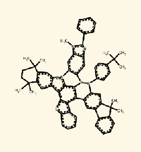 Cn1c(-c2ccccc2)nc2cc3c(cc21)-n1c2cc4c(cc2c2c5sc6ccccc6c5c5c(c21)B3N(c1ccc(C(C)(C)C)cc1)c1cc2c(cc1-5)-c1ccccc1C2(C)C)C(C)(C)CCC4(C)C